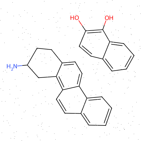 NC1CCc2ccc3c(ccc4ccccc43)c2C1.Oc1ccc2ccccc2c1O